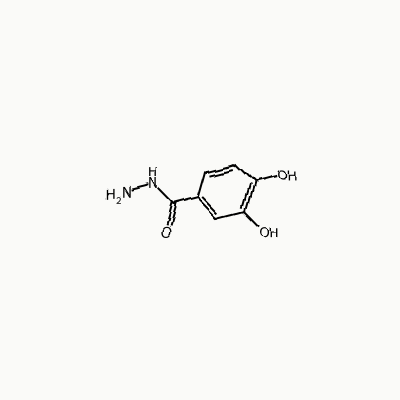 NNC(=O)c1ccc(O)c(O)c1